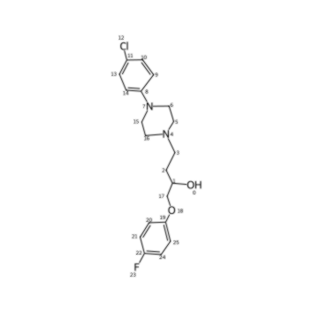 OC(CCN1CCN(c2ccc(Cl)cc2)CC1)COc1ccc(F)cc1